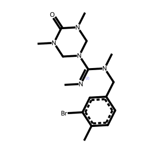 C/N=C(/N(C)Cc1ccc(C)c(Br)c1)N1CN(C)C(=O)N(C)C1